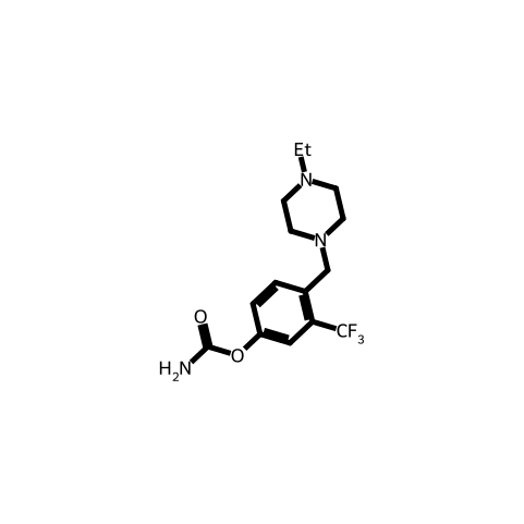 CCN1CCN(Cc2ccc(OC(N)=O)cc2C(F)(F)F)CC1